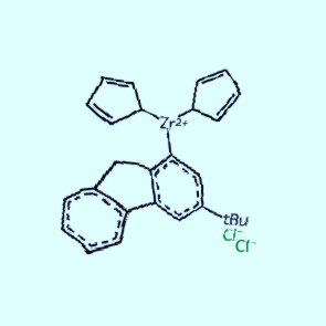 CC(C)(C)c1cc2c([c]([Zr+2]([CH]3C=CC=C3)[CH]3C=CC=C3)c1)Cc1ccccc1-2.[Cl-].[Cl-]